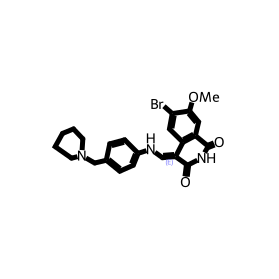 COc1cc2c(cc1Br)/C(=C\Nc1ccc(CN3CCCCC3)cc1)C(=O)NC2=O